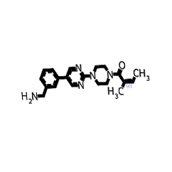 C/C=C(/C)C(=O)N1CCN(c2ncc(-c3cccc(CN)c3)cn2)CC1